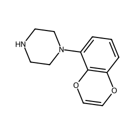 C1=COc2c(cccc2N2CCNCC2)O1